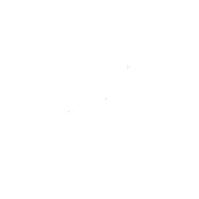 CC(F)=COC(=O)C1CC1